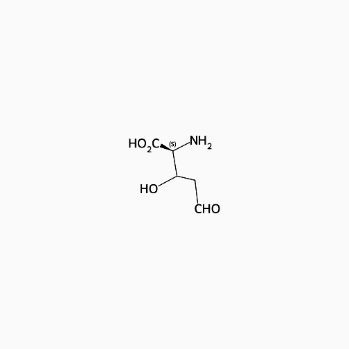 N[C@H](C(=O)O)C(O)CC=O